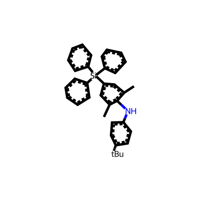 Cc1cc([Si](c2ccccc2)(c2ccccc2)c2ccccc2)cc(C)c1Nc1ccc(C(C)(C)C)cc1